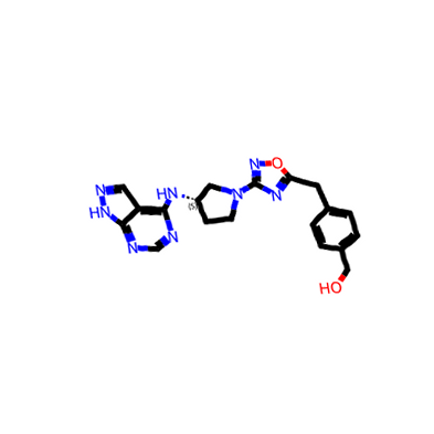 OCc1ccc(Cc2nc(N3CC[C@H](Nc4ncnc5[nH]ncc45)C3)no2)cc1